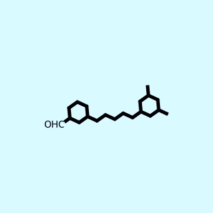 CC1CC(C)CC(CCCCCC2CCCC(C=O)C2)C1